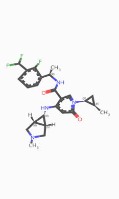 C[C@@H]1C[C@@H]1n1cc(C(=O)N[C@H](C)c2cccc(C(F)F)c2F)c(N[C@@H]2[C@@H]3CN(C)C[C@@H]32)cc1=O